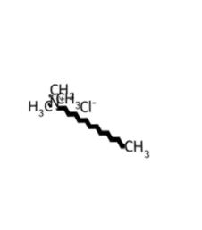 CCCCCCCCCCCCCC[N+](C)(C)CC.[Cl-]